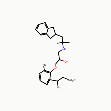 CCOC(=O)CC(CC)c1cccc(C#N)c1OCC(O)CNC(C)(C)CC1Cc2ccccc2C1